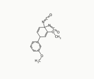 COC1=CC(c2cccc(OC)c2)C=CC1(N=C=O)N=C=O